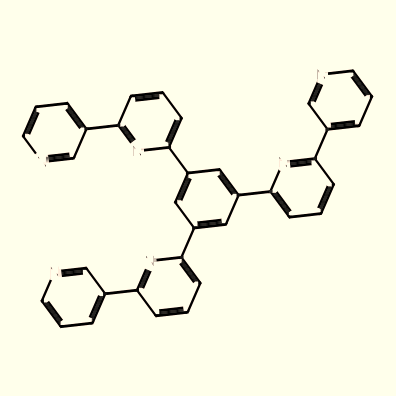 c1cncc(-c2cccc(-c3cc(-c4cccc(-c5cccnc5)n4)cc(-c4cccc(-c5cccnc5)n4)c3)n2)c1